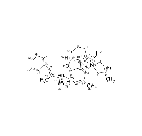 C=CC[N+]1(CC(C)C)CC[C@@]23C4=C5C[C@@H]1[C@@H]2CCC[C@@H]3OC4C(NC(=O)C(=Cc1ccccc1)C(F)(F)F)(OC)C=C5OC(C)=O